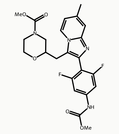 COC(=O)Nc1cc(F)c(-c2nc3cc(C)ccn3c2CC2CN(C(=O)OC)CCO2)c(F)c1